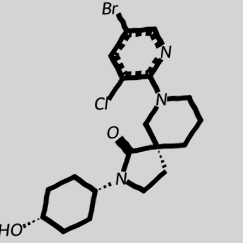 O=C1N([C@H]2CC[C@@H](O)CC2)CC[C@]12CCCN(c1ncc(Br)cc1Cl)C2